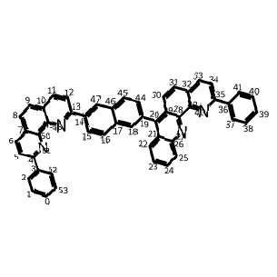 c1ccc(-c2ccc3ccc4ccc(-c5ccc6cc(-c7c8ccccc8nc8c7ccc7ccc(-c9ccccc9)nc78)ccc6c5)nc4c3n2)cc1